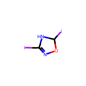 IC1=NOC(I)N1